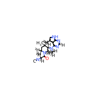 [2H]c1nc(N(C([2H])([2H])[2H])[C@@]2([2H])C([2H])([2H])N(C(=O)C([2H])([2H])[N+]#[C-])C([2H])([2H])C[C@@]2([2H])C)c2c([2H])c[nH]c2n1